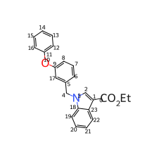 CCOC(=O)c1cn(Cc2cccc(Oc3ccccc3)c2)c2ccccc12